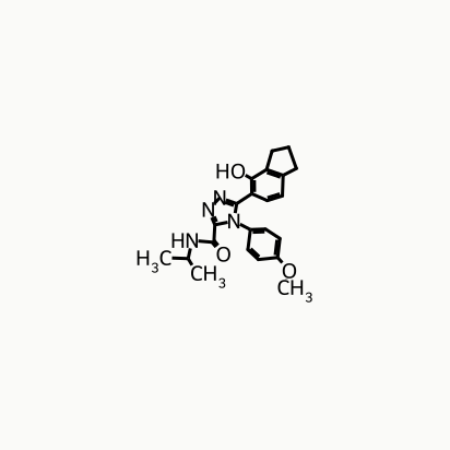 COc1ccc(-n2c(C(=O)NC(C)C)nnc2-c2ccc3c(c2O)CCC3)cc1